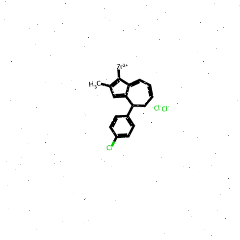 CC1=[C]([Zr+2])C2=CC=CCC(c3ccc(Cl)cc3)C2=C1.[Cl-].[Cl-]